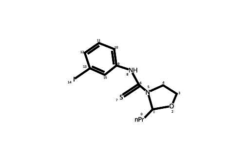 CCCC1OCCN1C(=S)Nc1cccc(I)c1